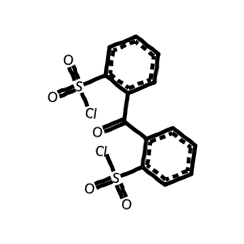 O=C(c1ccccc1S(=O)(=O)Cl)c1ccccc1S(=O)(=O)Cl